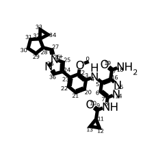 COc1c(Nc2cc(NC(=O)C3CC3)nnc2C(N)=O)cccc1C1=C/[N+](=C/C2CCCC23CC3)N=C1